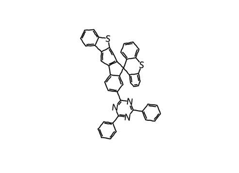 c1ccc(-c2nc(-c3ccccc3)nc(-c3ccc4c(c3)C3(c5ccccc5Sc5ccccc53)c3cc5sc6ccccc6c5cc3-4)n2)cc1